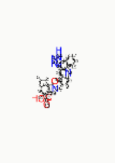 CCCCC(=O)N(Cc1ccc2nc(-c3ccccc3-c3nnn[nH]3)ccc2c1)CC1(OC(=O)O)CCCCC1